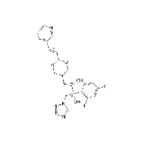 C[C@@H](SC1COC(/C=C/c2cccnc2)OC1)[C@](O)(Cn1cncn1)c1ccc(F)cc1F